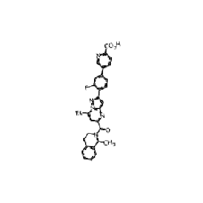 CCc1cc(C(=O)N2CCc3ccccc3C2C)nc2cc(-c3ccc(-c4ccc(C(=O)O)nc4)cc3F)nn12